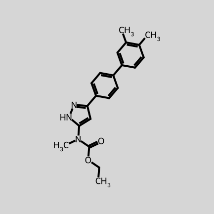 CCOC(=O)N(C)c1cc(-c2ccc(-c3ccc(C)c(C)c3)cc2)n[nH]1